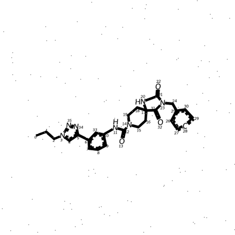 CCCn1cc(-c2cccc(NC(=O)N3CCC4(CC3)NC(=O)N(Cc3ccccc3)C4=O)c2)nn1